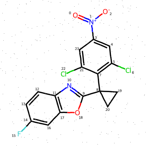 O=[N+]([O-])c1cc(Cl)c(C2(c3nc4ccc(F)cc4o3)CC2)c(Cl)c1